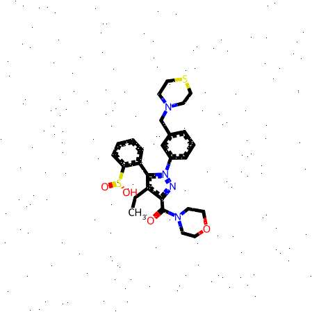 CCc1c(C(=O)N2CCOCC2)nn(-c2cccc(CN3CCSCC3)c2)c1-c1ccccc1S(=O)O